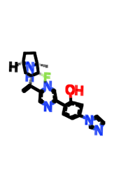 C=C(c1cnc(-c2ccc(-n3ccnc3)cc2O)cn1)[C@@H]1C[C@H]2CC[C@](C)(N2)[C@@H]1F